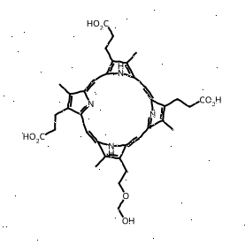 CC1=C(CCC(=O)O)c2cc3[nH]c(cc4nc(cc5[nH]c(cc1n2)c(CCC(=O)O)c5C)C(CCC(=O)O)=C4C)c(CCOCO)c3C